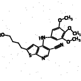 COc1cc(Nc2c(C#N)cnc3sc(CCCCO)cc23)cc(OC)c1OC